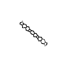 C1=CC2Cc3cc4c(cc3C=C2S1)c1cc2cc3c5cc6cc7ccsc7cc6cc5c3cc2cc41